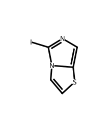 Ic1ncc2sccn12